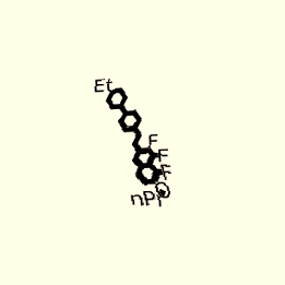 CCCOc1ccc2cc(CCC3CCC(C4CCC(CC)CC4)CC3)c(F)c(F)c2c1F